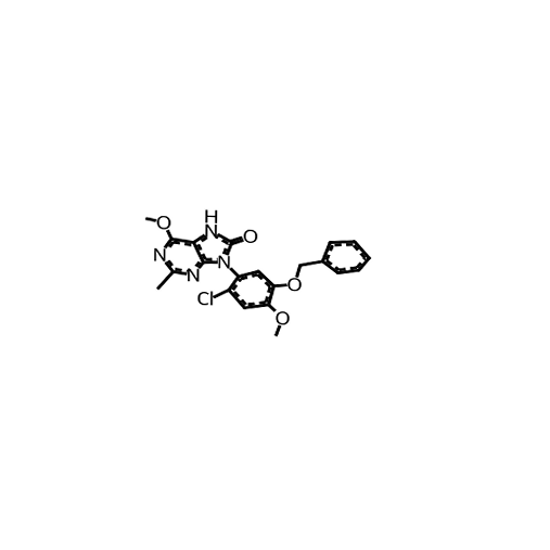 COc1cc(Cl)c(-n2c(=O)[nH]c3c(OC)nc(C)nc32)cc1OCc1ccccc1